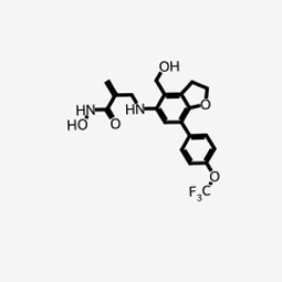 C=C(CNc1cc(-c2ccc(OC(F)(F)F)cc2)c2c(c1CO)CCO2)C(=O)NO